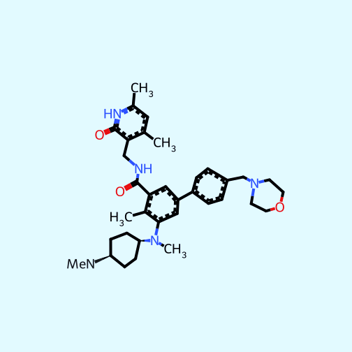 CN[C@H]1CC[C@@H](N(C)c2cc(-c3ccc(CN4CCOCC4)cc3)cc(C(=O)NCc3c(C)cc(C)[nH]c3=O)c2C)CC1